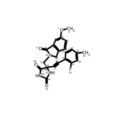 COc1ccc2c(c1)C(=O)N(C[C@@]1(C#Cc3ccc(C)cc3F)NC(=O)NC1=O)C2